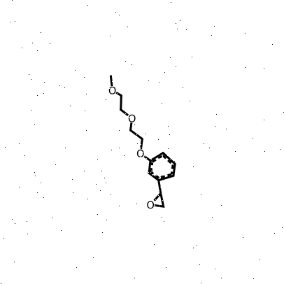 COCCOCCOc1cccc(C2CO2)c1